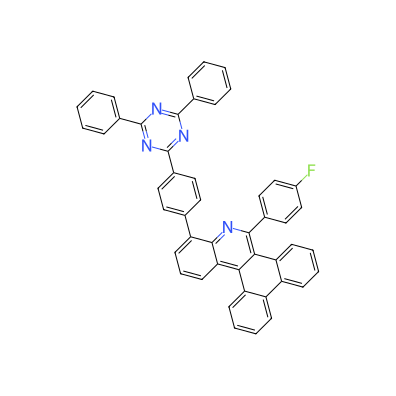 Fc1ccc(-c2nc3c(-c4ccc(-c5nc(-c6ccccc6)nc(-c6ccccc6)n5)cc4)cccc3c3c4ccccc4c4ccccc4c23)cc1